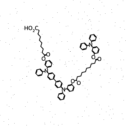 O=C(O)CCCCCCCCC(=O)Oc1cccc(N(c2ccccc2)c2ccc(-c3ccc(N(c4ccccc4)c4cccc(OC(=O)CCCCCCCCC(=O)Oc5cccc(N(c6ccccc6)c6ccccc6)c5)c4)cc3)cc2)c1